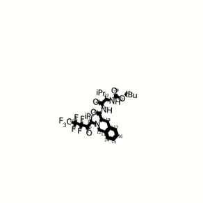 CC(C)C(C(=O)C(F)(F)C(F)(F)C(F)(F)F)N1Cc2ccccc2CC1C(=O)NC(=O)[C@@H](NC(=O)OC(C)(C)C)C(C)C